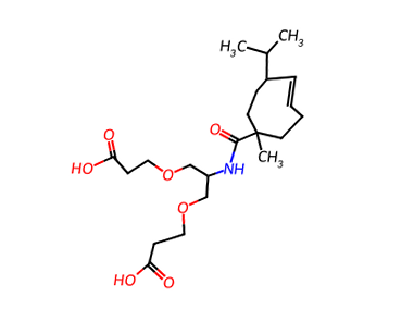 CC(C)C1/C=C/CCC(C)(C(=O)NC(COCCC(=O)O)COCCC(=O)O)CC1